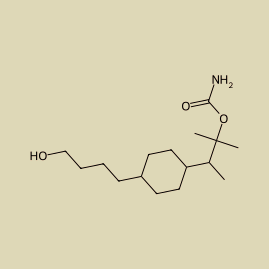 CC(C1CCC(CCCCO)CC1)C(C)(C)OC(N)=O